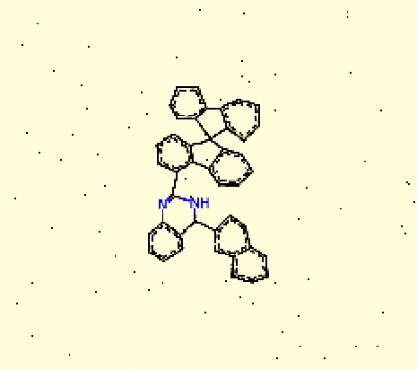 c1ccc2c(c1)N=C(c1cccc3c1-c1ccccc1C31c3ccccc3-c3ccccc31)NC2c1ccc2ccccc2c1